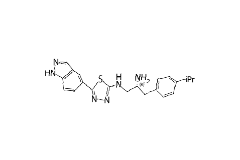 CC(C)c1ccc(C[C@@H](N)CNc2nnc(-c3ccc4[nH]ncc4c3)s2)cc1